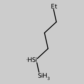 CCCCC[SiH][SiH3]